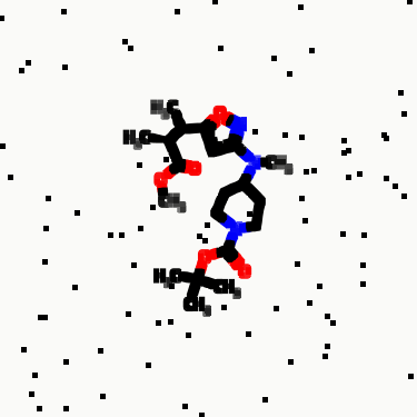 COC(=O)[C@@H](C)C(C)c1cc(N(C)C2CCN(C(=O)OC(C)(C)C)CC2)no1